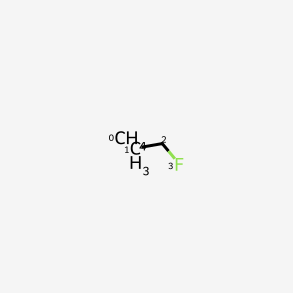 C.CCF